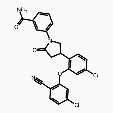 N#Cc1ccc(Cl)cc1Oc1cc(Cl)ccc1C1CC(=O)N(c2cccc(C(N)=O)c2)C1